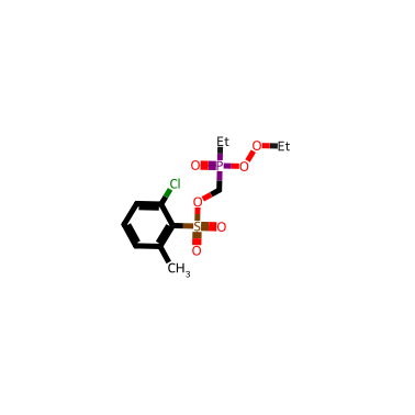 CCOOP(=O)(CC)COS(=O)(=O)c1c(C)cccc1Cl